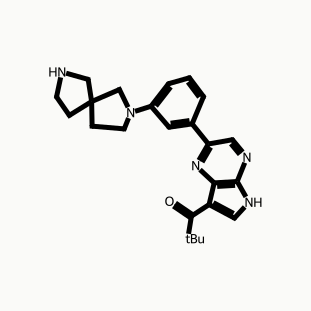 CC(C)(C)C(=O)c1c[nH]c2ncc(-c3cccc(N4CCC5(CCNC5)C4)c3)nc12